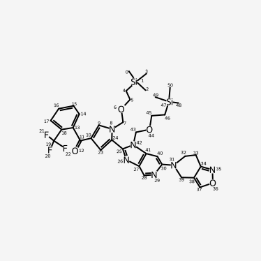 C[Si](C)(C)CCOCn1cc(C(=O)c2ccccc2C(F)(F)F)cc1-c1nc2cnc(N3CCc4nocc4C3)cc2n1COCC[Si](C)(C)C